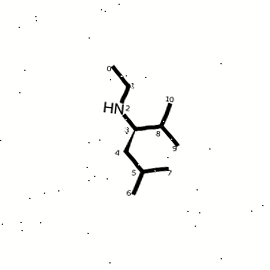 CCN[C@H](CC(C)C)C(C)C